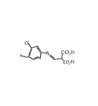 CCOC(=O)C(/C=N/c1ccc(I)c(Cl)c1)C(=O)OCC